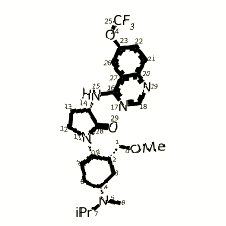 COC[C@@H]1C[C@H](N(C)C(C)C)CC[C@@H]1N1CC[C@H](Nc2ncnc3ccc(OC(F)(F)F)cc23)C1=O